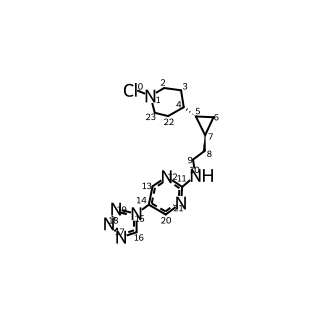 ClN1CCC([C@@H]2C[C@H]2CCNc2ncc(-n3cnnn3)cn2)CC1